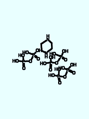 C1CNCCN1.O=P(O)(O)OP(=O)(O)O.O=P(O)(O)OP(=O)(O)O.O=P(O)(O)OP(=O)(O)O